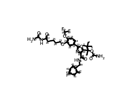 CC(C)(C)C(C)(OC(N)=O)c1oc(-c2ccc(OC(F)F)c(OCCCCC(=O)NC(N)=O)c2)nc1C(=O)NCc1ccc(F)cc1F